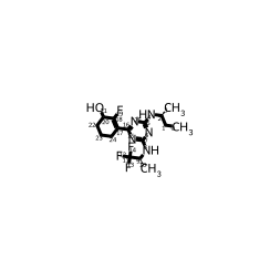 CC[C@@H](C)Nc1nc(N[C@H](C)C(F)(F)F)nc(C2=C(F)C(O)CCC2)n1